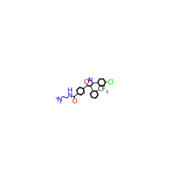 CN(C)CCNC(=O)c1ccc(-c2onc(-c3ccc(Cl)cc3)c2-c2ccccc2C(F)(F)F)cc1